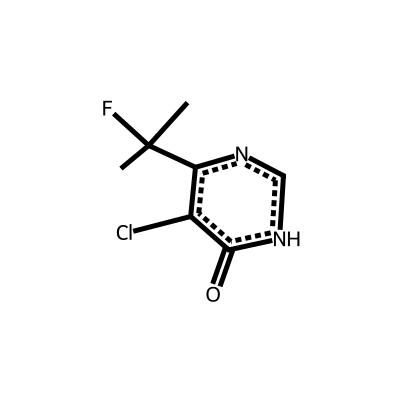 CC(C)(F)c1nc[nH]c(=O)c1Cl